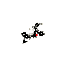 C[C@]1(C(=O)N2CC[C@H](O)C2)COc2c1cc([C@@](O)(CNC(=O)c1cc(OC3CC3)c3ncccc3c1)C(F)(F)F)nc2-c1ccc(F)cc1